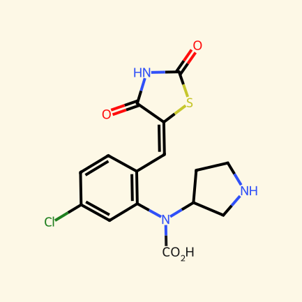 O=C1NC(=O)/C(=C\c2ccc(Cl)cc2N(C(=O)O)C2CCNC2)S1